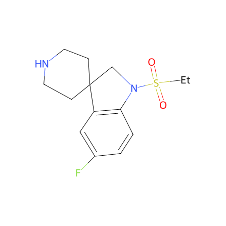 CCS(=O)(=O)N1CC2(CCNCC2)c2cc(F)ccc21